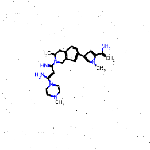 C=C(N)c1cc(-c2ccc3c(c2)CN(C(=N)/C=C(\N)N2CCN(C)CC2)C(C)C3)cn1C